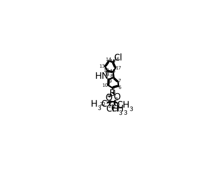 CC1(C)OB(c2ccc3c(c2)[nH]c2ccc(Cl)cc23)OC1(C)C